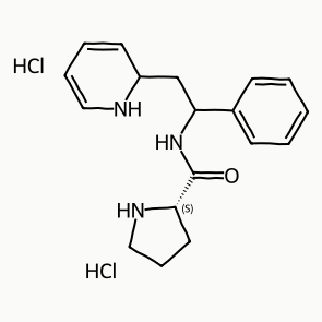 Cl.Cl.O=C(NC(CC1C=CC=CN1)c1ccccc1)[C@@H]1CCCN1